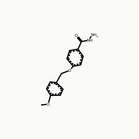 COc1ccc(COc2ccc(C(=O)NN)cc2)cc1